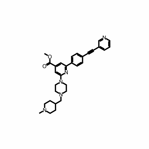 COC(=O)c1cc(-c2ccc(C#Cc3cccnc3)cc2)nc(N2CCN(CC3CCN(C)CC3)CC2)c1